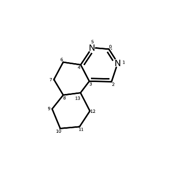 [c]1ncc2c(n1)CCC1CCCCC21